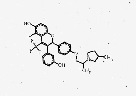 CC1CCN(C(C)COc2ccc(C3Oc4ccc(O)c(F)c4C(C(F)(F)F)=C3c3cccc(O)c3)cc2)C1